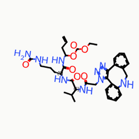 C=CCC(NC(=O)[C@H](CCCNC(N)=O)NC(=O)[C@@H](NC(=O)Cn1nnc2c1-c1ccccc1NCc1ccccc1-2)C(C)C)OC(=O)OCC